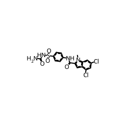 Cn1c(C(=O)Nc2ccc(S(=O)(=O)NC(N)=O)cc2)cc2c(Cl)cc(Cl)cc21